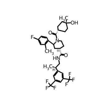 Cc1cc(F)ccc1C1C[C@@H](C(=O)NC[C@H](C)c2cc(C(F)(F)F)cc(C(F)(F)F)c2)CCN1C(=O)[C@H]1CC[C@@](C)(O)CC1